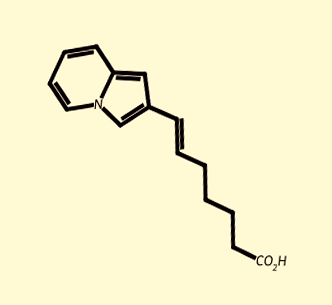 O=C(O)CCCCC=Cc1cc2ccccn2c1